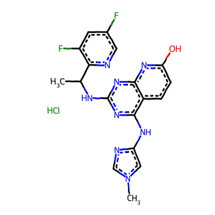 CC(Nc1nc(Nc2cn(C)cn2)c2ccc(O)nc2n1)c1ncc(F)cc1F.Cl